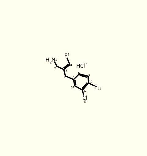 Cl.NCC(=CF)Cc1ccc(F)c(Cl)c1